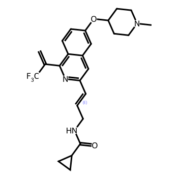 C=C(c1nc(/C=C/CNC(=O)C2CC2)cc2cc(OC3CCN(C)CC3)ccc12)C(F)(F)F